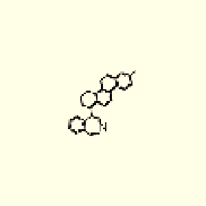 Cc1ccc2c(c1)=CCc1c3c(ccc1=2)=C(C1C=NC=Cc2ccccc21)CCC3